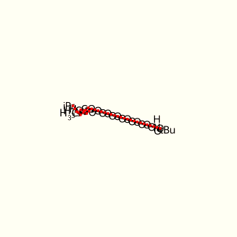 CC(C)CCC[C@@H](C)[C@H]1CCC2C3CC=C4CC(OC(=O)CCOCCOCCOCCOCCOCCOCCOCCOCCOCCOCCOCCOCCNC(=O)OC(C)(C)C)CC[C@]4(C)C3CC[C@@]21C